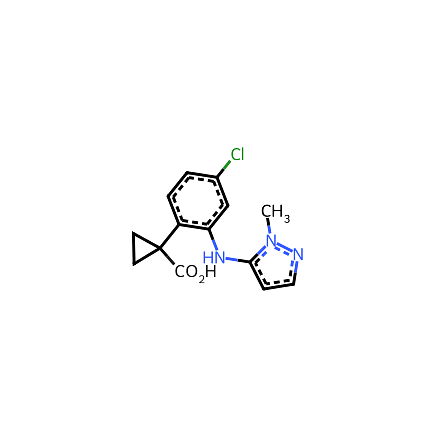 Cn1nccc1Nc1cc(Cl)ccc1C1(C(=O)O)CC1